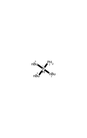 CCCC[PH](P)(CCCC)CCCC